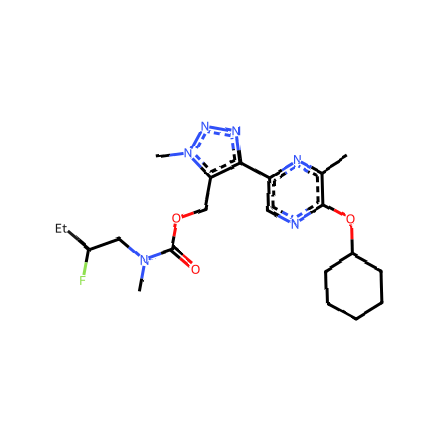 CCC(F)CN(C)C(=O)OCc1c(-c2cnc(OC3CCCCC3)c(C)n2)nnn1C